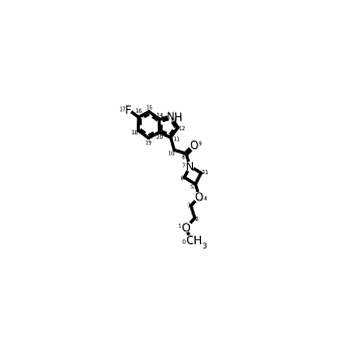 COCCOC1CN(C(=O)Cc2c[nH]c3cc(F)ccc23)C1